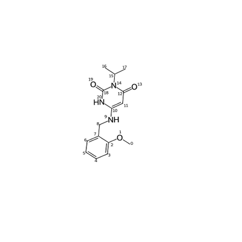 COc1ccccc1CNc1cc(=O)n(C(C)C)c(=O)[nH]1